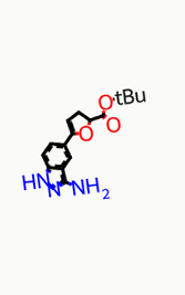 CC(C)(C)OC(=O)C1CC=C(c2ccc3[nH]nc(N)c3c2)O1